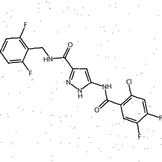 O=C(NCc1c(F)cccc1F)c1cc(NC(=O)c2cc(F)c(F)cc2Cl)[nH]n1